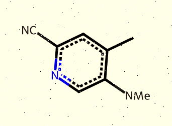 CNc1cnc(C#N)cc1C